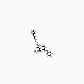 COC(=O)CCCCCCCNC(=O)c1c(C)nc2c(OCC3CCCCC3)cccn12